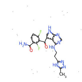 Cc1nnc(CCNc2ncnc3[nH]cc(C(=O)c4c(F)ccc(C(N)=O)c4F)c23)[nH]1